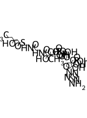 CCCC(O)=CC(=O)SCCNC(=O)CCNC(=O)C(O)C(C)(C)COP(=O)(O)OP(=O)(O)OC[C@H]1O[C@@H](n2cnc3c(N)ncnc32)[C@H](O)[C@@H]1OP(=O)(O)O